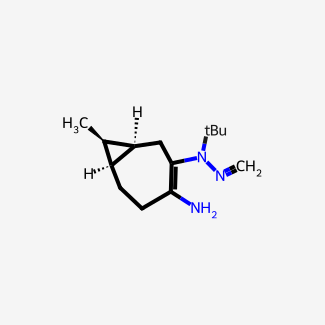 C=NN(C1=C(N)CC[C@H]2[C@@H](C)[C@H]2C1)C(C)(C)C